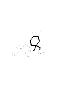 O=S(=O)(O)O.[NH-]CC1(C[NH-])CCCCC1.[Pt+2]